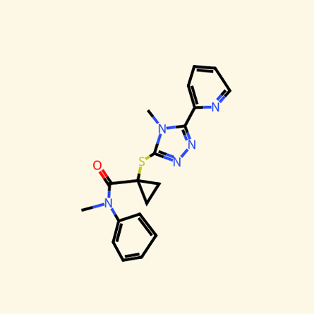 CN(C(=O)C1(Sc2nnc(-c3ccccn3)n2C)CC1)c1ccccc1